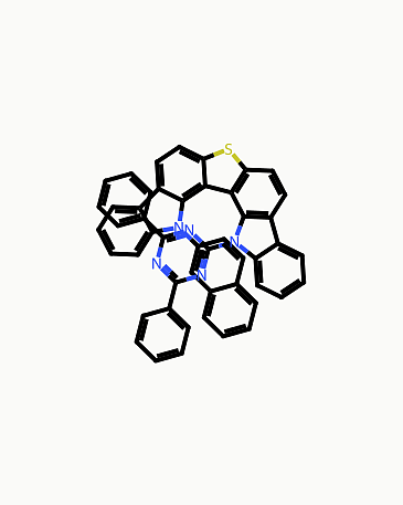 c1ccc(-c2nc(-c3ccccc3)nc(-n3c4ccccc4c4ccc5sc6ccc7c8ccccc8n(-c8ccc9ccccc9c8)c7c6c5c43)n2)cc1